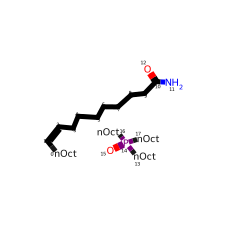 CCCCCCCC/C=C\CCCCCCCC(N)=O.CCCCCCCCP(=O)(CCCCCCCC)CCCCCCCC